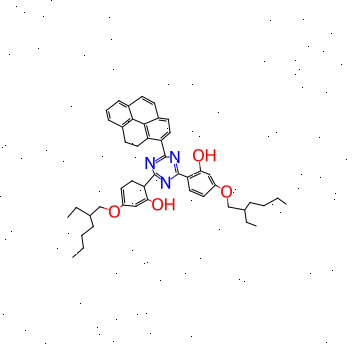 CCCCC(CC)COC1=CCC(c2nc(-c3ccc(OCC(CC)CCCC)cc3O)nc(-c3ccc4ccc5cccc6c5c4c3CC6)n2)C(O)=C1